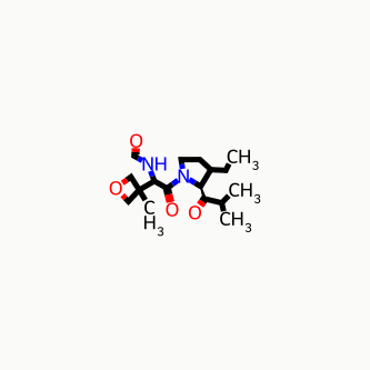 CCC1CCN(C(=O)C(NC=O)C2(C)COC2)[C@@H]1C(=O)C(C)C